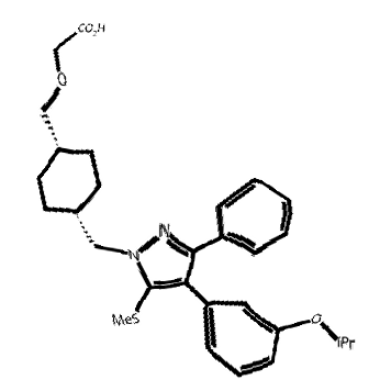 CSc1c(-c2cccc(OC(C)C)c2)c(-c2ccccc2)nn1C[C@H]1CC[C@@H](COCC(=O)O)CC1